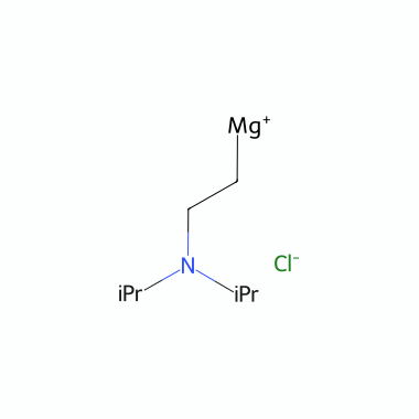 CC(C)N(C[CH2][Mg+])C(C)C.[Cl-]